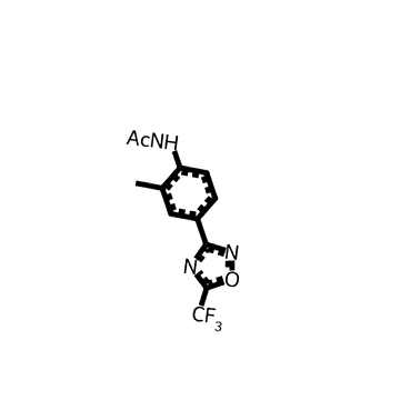 CC(=O)Nc1ccc(-c2noc(C(F)(F)F)n2)cc1C